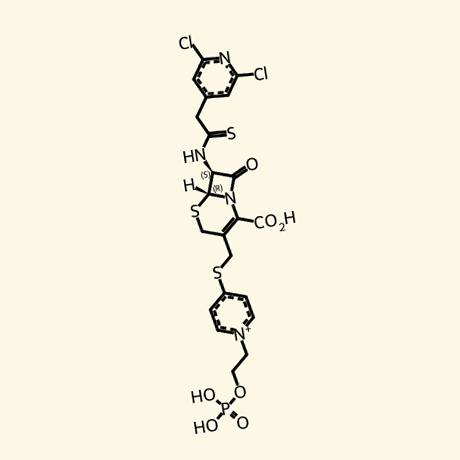 O=C(O)C1=C(CSc2cc[n+](CCOP(=O)(O)O)cc2)CS[C@@H]2[C@@H](NC(=S)Cc3cc(Cl)nc(Cl)c3)C(=O)N12